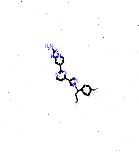 Nc1nc2cc(-c3nccc(-c4cnn(C(CCF)c5ccc(F)cc5)c4)n3)ccn2n1